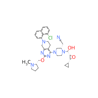 CN1CCC[C@H]1COc1nc2c(c(N3CCN(C(O)[C@@H]4O[C@@H]4C4CC4)[C@@H](CC#N)C3)n1)CCN(c1cccc3cccc(Cl)c13)C2